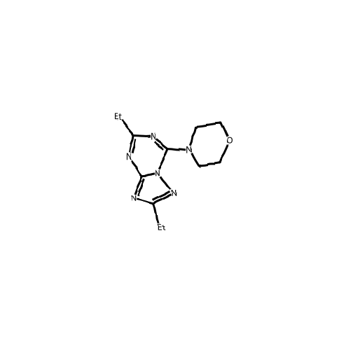 CCc1nc(N2CCOCC2)n2nc(CC)nc2n1